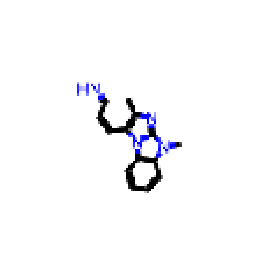 Cc1nc2n(c1/C=C\C=N)C1C=CC=CC1N2C